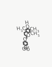 Cc1c(C)c2c(c(C)c1O)CCC(COc1ccc([N+](=O)[O-])cc1)O2